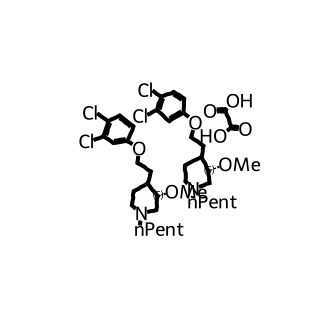 CCCCCN1CCC(CCOc2ccc(Cl)c(Cl)c2)[C@H](OC)C1.CCCCCN1CCC(CCOc2ccc(Cl)c(Cl)c2)[C@H](OC)C1.O=C(O)C(=O)O